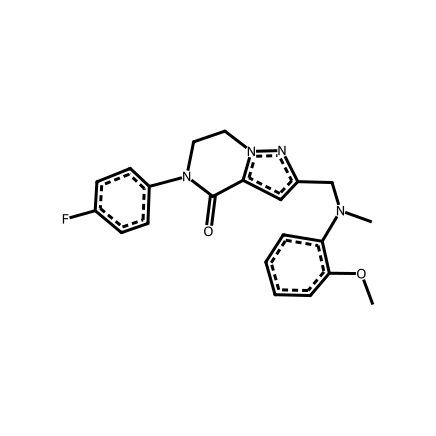 COc1ccccc1N(C)Cc1cc2n(n1)CCN(c1ccc(F)cc1)C2=O